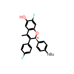 CCCCc1ccc([C@@H]2Oc3cc(F)c(O)cc3C(C)=C2c2ccc(F)cc2)cc1